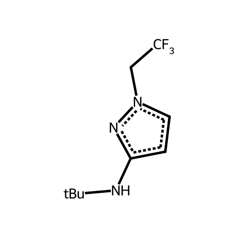 CC(C)(C)Nc1ccn(CC(F)(F)F)n1